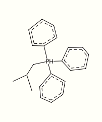 CC(C)C[PH](c1ccccc1)(c1ccccc1)c1ccccc1